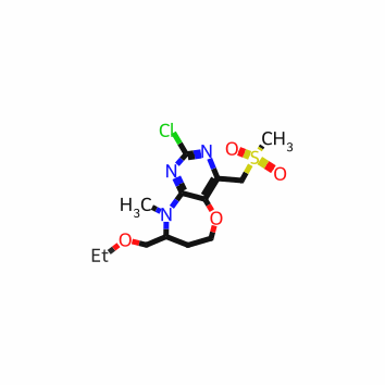 CCOCC1CCOc2c(CS(C)(=O)=O)nc(Cl)nc2N1C